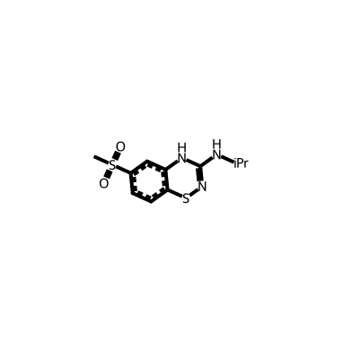 CC(C)NC1=NSc2ccc(S(C)(=O)=O)cc2N1